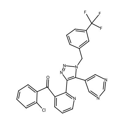 O=C(c1ccccc1Cl)c1cccnc1-c1nnn(Cc2cccc(C(F)(F)F)c2)c1-c1cncnc1